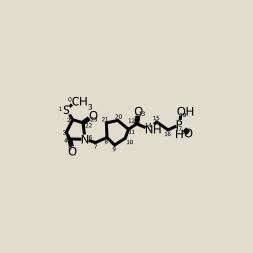 CSC1CC(=O)N(CC2CCC(C(=O)NCC[PH](=O)O)CC2)C1=O